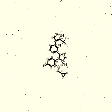 Cn1cnc(-c2cc(-c3nn[nH]c3C(F)(F)F)ccn2)c1-c1ccc(F)cc1OCC1CC1